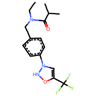 CCN(Cc1ccc(N2C=C(C(F)(F)F)ON2)cc1)C(=O)C(C)C